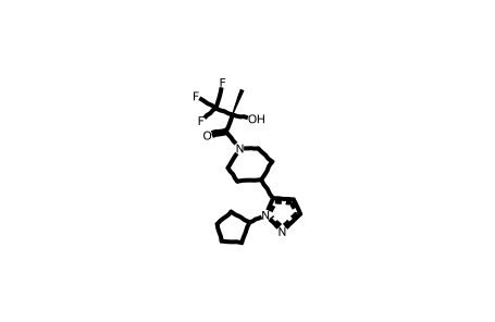 C[C@@](O)(C(=O)N1CCC(c2ccnn2C2CCCC2)CC1)C(F)(F)F